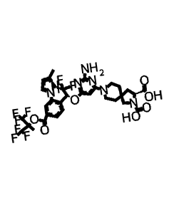 Cc1ccn(-c2cc(C(=O)OC(C)(C(F)(F)F)C(F)(F)F)ccc2[C@@H](Oc2cc(N3CCC4(CC3)C[C@@H](C(=O)O)N(C(=O)O)C4)nc(N)n2)C(F)(F)F)n1